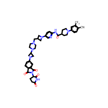 N#Cc1ccc(N2CCC(C(=O)Nc3ccc(N4CC(CN5CCN(C6CN(c7ccc8c(c7)C(=O)N(C7CCC(=O)NC7=O)C8=O)C6)CC5)C4)cn3)CC2)cc1C(F)(F)F